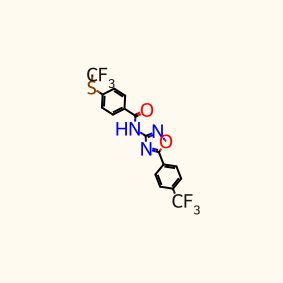 O=C(Nc1noc(-c2ccc(C(F)(F)F)cc2)n1)c1ccc(SC(F)(F)F)cc1